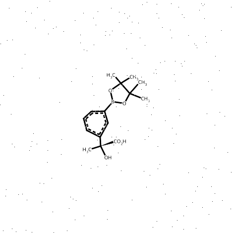 CC1(C)OB(c2cccc([C@@](C)(O)C(=O)O)c2)OC1(C)C